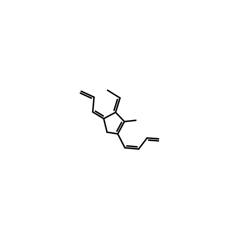 C=C/C=C\C1=C(C)C(=C/C)/C(=C\C=C)C1